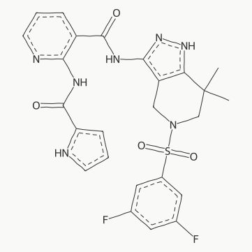 CC1(C)CN(S(=O)(=O)c2cc(F)cc(F)c2)Cc2c(NC(=O)c3cccnc3NC(=O)c3ccc[nH]3)n[nH]c21